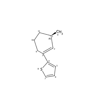 C[C@H]1C=C(c2cccs2)CCC1